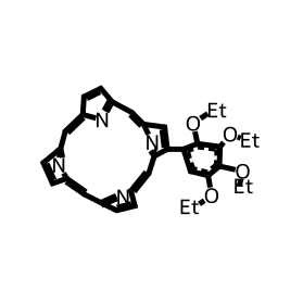 CCOc1cc(C2=CC3=CC4=NC(=CC5=NC(=CC6=NC(=CC2=N3)C=C6)C=C5)C=C4)c(OCC)c(OCC)c1OCC